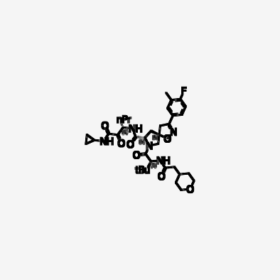 CCC[C@H](NC(=O)[C@@H]1C[C@]2(CC(c3ccc(F)c(C)c3)=NO2)CN1C(=O)[C@@H](NC(=O)CC1CCOCC1)C(C)(C)C)C(=O)C(=O)NC1CC1